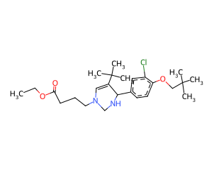 CCOC(=O)CCCN1C=C(C(C)(C)C)C(c2ccc(OCC(C)(C)C)c(Cl)c2)NC1